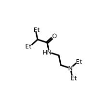 CCC(CC)C(=O)NCCN(CC)CC